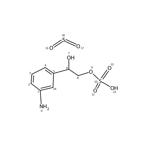 Nc1cccc(C(O)COS(=O)(=O)O)c1.O=S=O